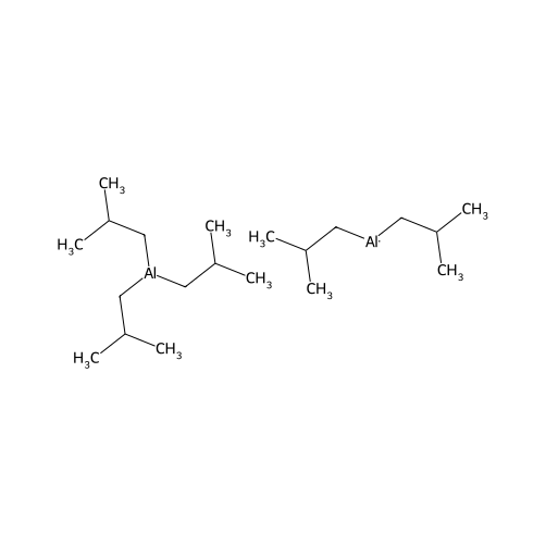 CC(C)[CH2][Al]([CH2]C(C)C)[CH2]C(C)C.CC(C)[CH2][Al][CH2]C(C)C